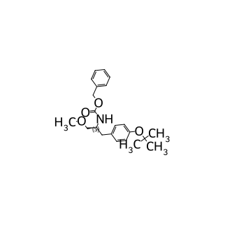 COC[C@H](Cc1ccc(OC(C)(C)C)cc1)NC(=O)OCc1ccccc1